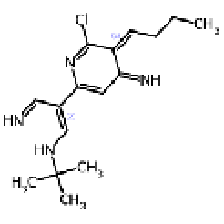 CCC/C=C1\C(=N)C=C(/C(C=N)=C/NC(C)(C)C)N=C1Cl